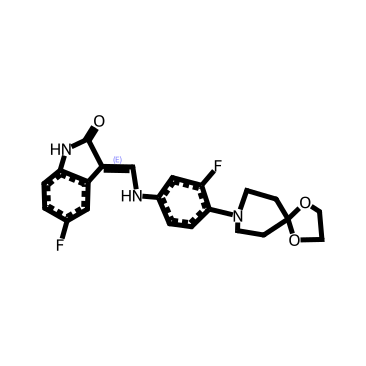 O=C1Nc2ccc(F)cc2/C1=C\Nc1ccc(N2CCC3(CC2)OCCO3)c(F)c1